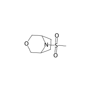 CS(=O)(=O)N1C2CCC1COC2